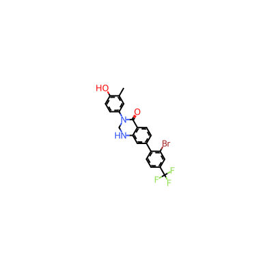 Cc1cc(N2CNc3cc(-c4ccc(C(F)(F)F)cc4Br)ccc3C2=O)ccc1O